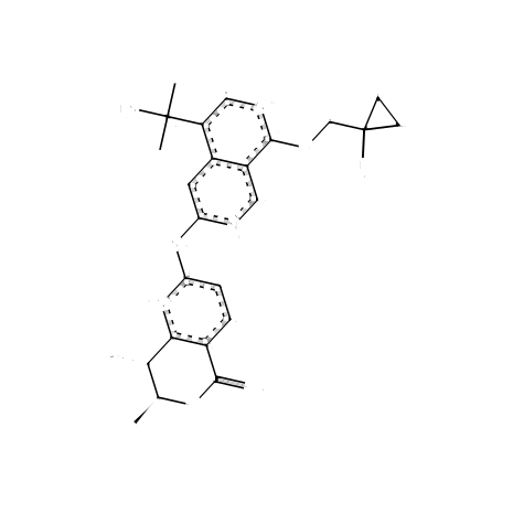 C[C@@H]1OC(=O)c2ccc(Nc3cc4c(C(C)(C)N)cnc(OCC5(F)CC5)c4cn3)nc2[C@H]1C